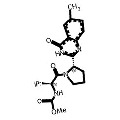 COC(=O)N[C@H](C(=O)N1CCC[C@H]1c1nc2ccc(C)cc2c(=O)[nH]1)C(C)C